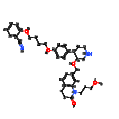 COCCCN1C(=O)CCc2ccc(COC3CNCCC3c3ccc(OCCCCOc4ccccc4C#N)cc3)cc21